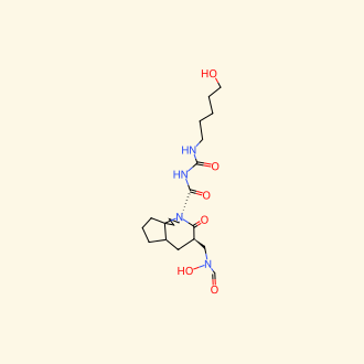 O=CN(O)C[C@H]1CC2CCCC23CC[C@@H](C(=O)NC(=O)NCCCCCO)N3C1=O